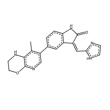 Cc1c(-c2ccc3c(c2)C(=Cc2ncc[nH]2)C(=O)N3)cnc2c1NCCO2